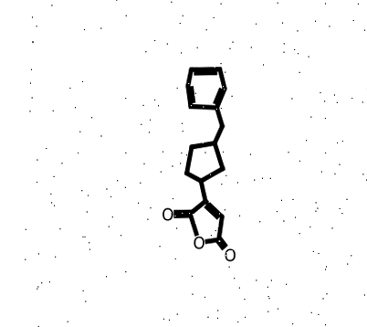 O=C1C=C(C2CCC(Cc3ccccc3)C2)C(=O)O1